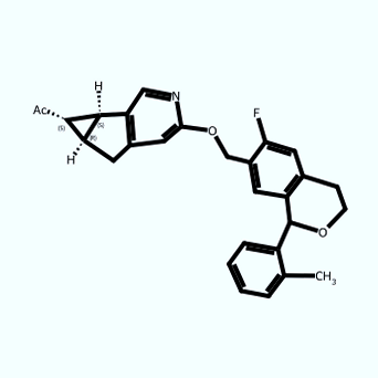 CC(=O)[C@H]1[C@@H]2Cc3cc(OCc4cc5c(cc4F)CCOC5c4ccccc4C)ncc3[C@@H]21